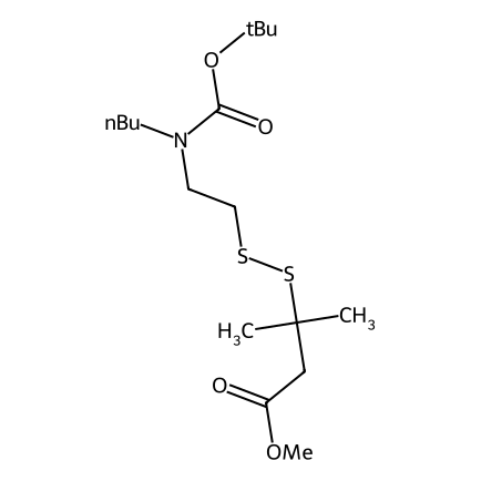 CCCCN(CCSSC(C)(C)CC(=O)OC)C(=O)OC(C)(C)C